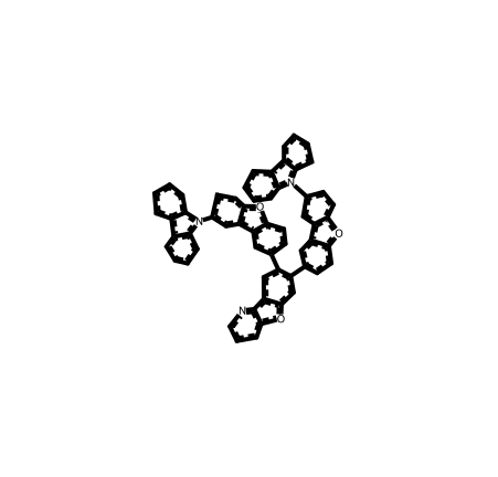 c1cnc2c(c1)oc1cc(-c3ccc4oc5ccc(-n6c7ccccc7c7ccccc76)cc5c4c3)c(-c3ccc4oc5ccc(-n6c7ccccc7c7ccccc76)cc5c4c3)cc12